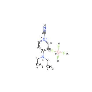 CCN(CC)c1cc[n+](C#N)cc1.F[B-](F)(F)F